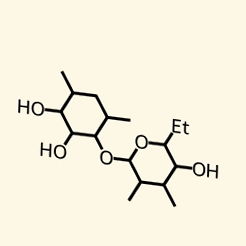 CCC1OC(OC2C(C)CC(C)C(O)C2O)C(C)C(C)C1O